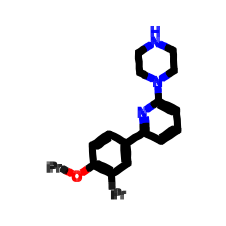 CC(C)Oc1ccc(-c2cccc(N3CCNCC3)n2)cc1C(C)C